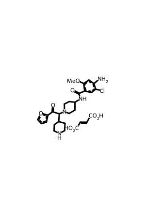 COc1cc(N)c(Cl)cc1C(=O)NC1CCN(C(C(=O)c2ccco2)C2CCNCC2)CC1.O=C(O)C=CC(=O)O